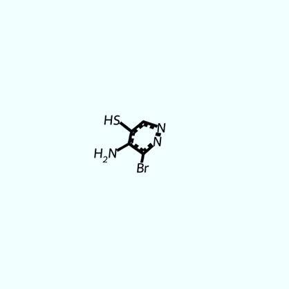 Nc1c(S)cnnc1Br